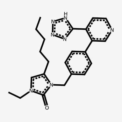 CCCCCc1cn(CC)c(=O)n1Cc1ccc(-c2cnccc2-c2nnn[nH]2)cc1